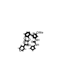 COc1cc(NC(=O)NC2CCCC2)cc(-c2cccc3c2OC(CNC(=O)C2CCOCC2)CO3)n1